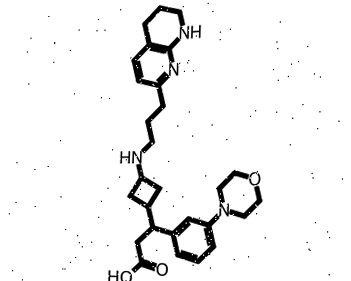 O=C(O)CC(c1cccc(N2CCOCC2)c1)C1CC(NCCCc2ccc3c(n2)NCCC3)C1